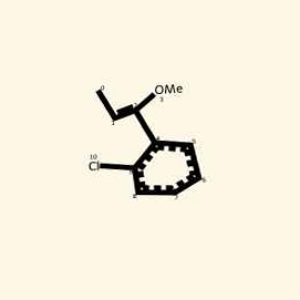 CC=C(OC)c1ccccc1Cl